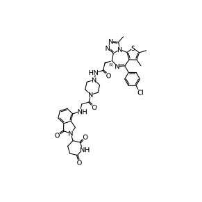 Cc1sc2c(c1C)C(c1ccc(Cl)cc1)=N[C@@H](CC(=O)NN1CCN(C(=O)CNc3cccc4c3CN(C3CCC(=O)NC3=O)C4=O)CC1)c1nnc(C)n1-2